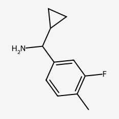 Cc1ccc(C(N)C2CC2)cc1F